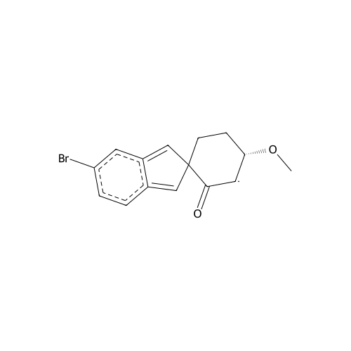 CO[C@@H]1[CH]C(=O)C2(C=c3ccc(Br)cc3=C2)CC1